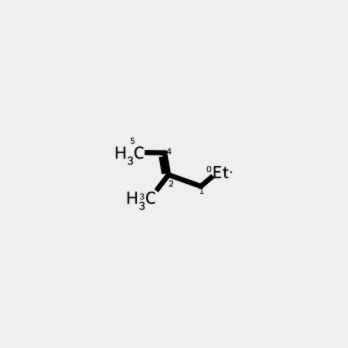 C[CH]CC(C)=CC